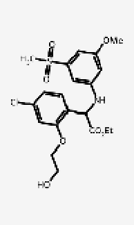 CCOC(=O)C(Nc1cc(OC)cc(S(C)(=O)=O)c1)c1ccc(Cl)cc1OCCO